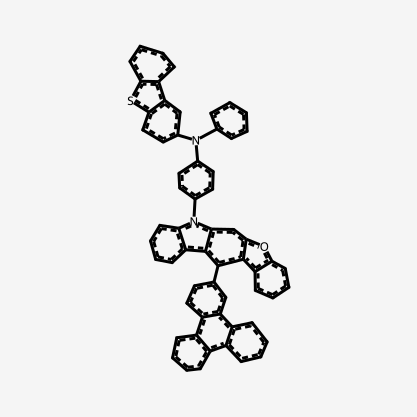 c1ccc(N(c2ccc(-n3c4ccccc4c4c(-c5ccc6c7ccccc7c7ccccc7c6c5)c5c(cc43)oc3ccccc35)cc2)c2ccc3sc4ccccc4c3c2)cc1